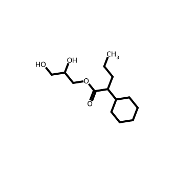 CCCC(C(=O)OCC(O)CO)C1CCCCC1